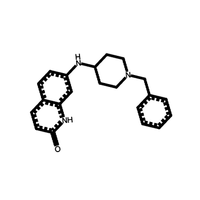 O=c1ccc2ccc(NC3CCN(Cc4ccccc4)CC3)cc2[nH]1